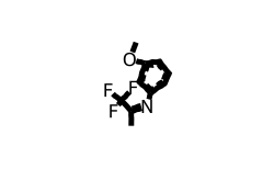 COc1cccc(N=C(C)C(F)(F)F)c1